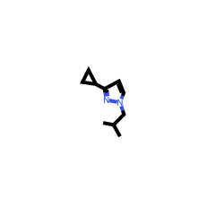 CC(C)Cn1ccc(C2CC2)n1